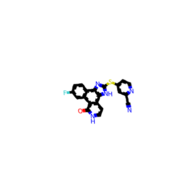 N#Cc1cc(Sc2nc3c4ccc(F)cc4c4c(=O)[nH]ccc4c3[nH]2)ccn1